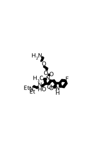 CCN(CC)CCNC(=O)c1c(C)c(/C=C2\C(=O)Nc3ccc(F)cc32)n(C(=O)OCCOCCN)c1C